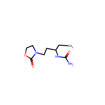 CCC(CCN1CCOC1=O)NC(N)=O